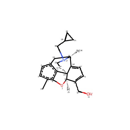 Cc1ccc2c3c1O[C@@H]1C(CO)=CC=C4[C@H](C2)N(CC2CC2)CC[C@@]431